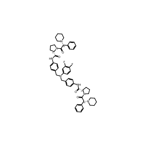 O=C(Nc1ccc(CN(Cc2ccc(NC(=O)[C@@H]3CCCN3C(=O)[C@@H](c3ccccc3)N3CCCCC3)cc2)c2ccc(F)c(F)c2)cc1)[C@@H]1CCCN1C(=O)[C@@H](c1ccccc1)N1CCCCC1